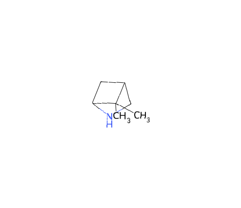 CC1(C)C2CNC1C2